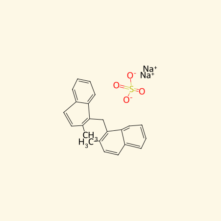 Cc1ccc2ccccc2c1Cc1c(C)ccc2ccccc12.O=S(=O)([O-])[O-].[Na+].[Na+]